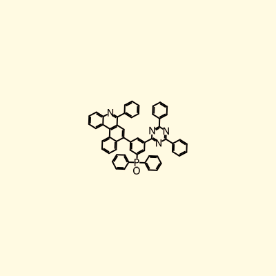 O=P(c1ccccc1)(c1ccccc1)c1cc(-c2nc(-c3ccccc3)nc(-c3ccccc3)n2)cc(-c2cc3c(-c4ccccc4)nc4ccccc4c3c3ccccc23)c1